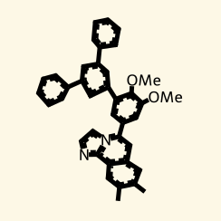 COc1cc(-c2cc3cc(C)c(C)cc3c3nccn23)cc(-c2cc(-c3ccccc3)cc(-c3ccccc3)c2)c1OC